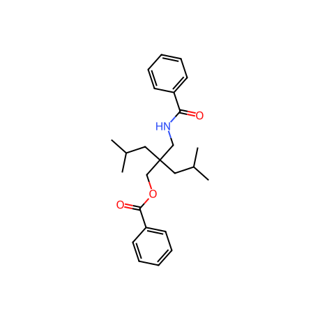 CC(C)CC(CNC(=O)c1ccccc1)(COC(=O)c1ccccc1)CC(C)C